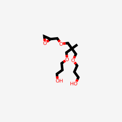 CC(COCCCO)(COCCCO)COCC1CO1